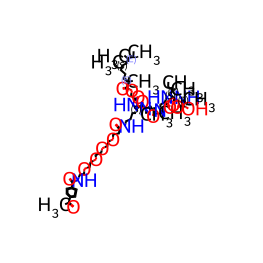 C/C=C(\C)C[C@@H](C)CC/C=C(\C)C(=O)OCC(=O)N[C@@H](CCCCNC(=O)CCOCCOCCOCCOCCNC(=O)c1ccc(C(C)=O)cc1)C(=O)N(C)CC(=O)N(C)CC(=O)N[C@H](C(=O)N[C@H](C)C(=O)O)[C@H](C)CC